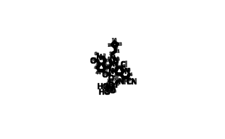 Cn1ccc2c([C@@H](c3cn(CCC4CCC4)nn3)N(C(=O)OCOP(=O)(O)O)c3cc(Cl)c4ncc(C#N)c(NCC(C)(C)C)c4c3)cccc2c1=O